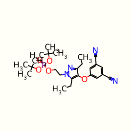 CCc1nn(CCOP(=O)(OC(C)(C)C)OC(C)(C)C)c(CC)c1Oc1cc(C#N)cc(C#N)c1